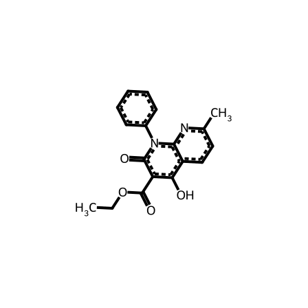 CCOC(=O)c1c(O)c2ccc(C)nc2n(-c2ccccc2)c1=O